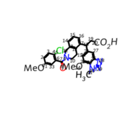 COc1ccc(Cl)c(C(=O)N2CCc3c(cccc3C(CC(=O)O)c3cc(OC)c4c(c3)nnn4C)C2)c1